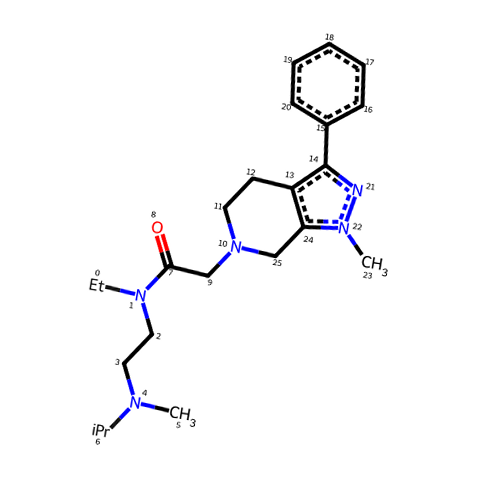 CCN(CCN(C)C(C)C)C(=O)CN1CCc2c(-c3ccccc3)nn(C)c2C1